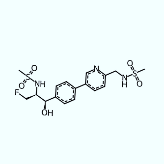 CS(=O)(=O)NCc1ccc(-c2ccc([C@@H](O)[C@@H](CF)NS(C)(=O)=O)cc2)cn1